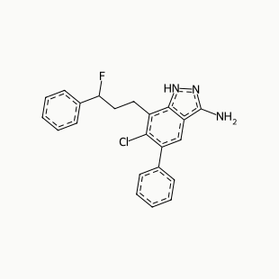 Nc1n[nH]c2c(CCC(F)c3ccccc3)c(Cl)c(-c3ccccc3)cc12